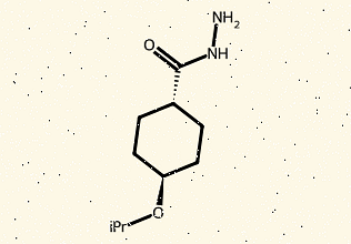 CC(C)O[C@H]1CC[C@H](C(=O)NN)CC1